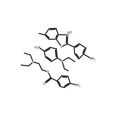 CCN(CC)CCOC(=O)c1ccc(N)cc1.CCN(CC)c1ccc(N)cc1.Cc1ccc2nc(-c3ccc(N)cc3)sc2c1.Cl